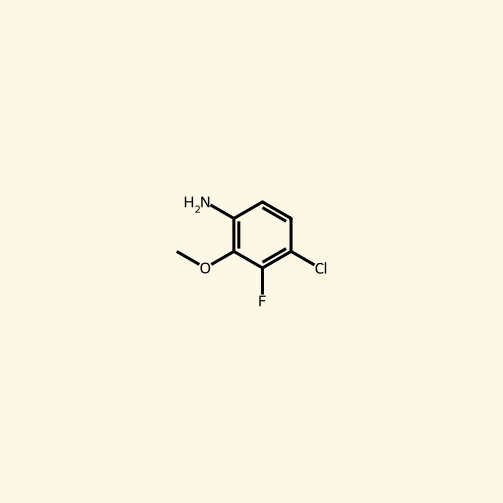 COc1c(N)ccc(Cl)c1F